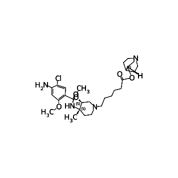 COc1cc(N)c(Cl)cc1C(=O)N[C@@]1(C)CCN(CCCCCC(=O)O[C@H]2CN3CCC2CC3)C[C@@H]1OC